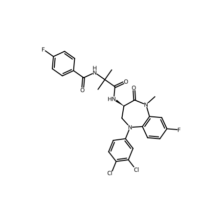 CN1C(=O)[C@H](NC(=O)C(C)(C)NC(=O)c2ccc(F)cc2)CN(c2ccc(Cl)c(Cl)c2)c2ccc(F)cc21